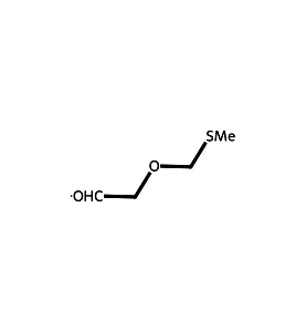 CSCOC[C]=O